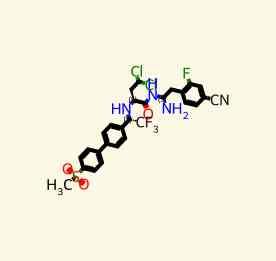 CS(=O)(=O)c1ccc(-c2ccc([C@H](N[C@@H](CC(Cl)Cl)C(=O)N[C@H](N)Cc3ccc(C#N)cc3F)C(F)(F)F)cc2)cc1